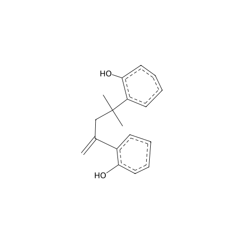 C=C(CC(C)(C)c1ccccc1O)c1ccccc1O